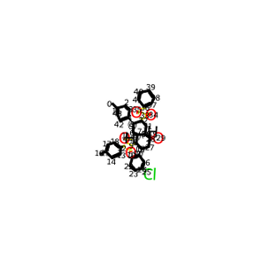 Cc1ccc([C@@H]2C[C@@H]3C(S(=O)(=O)c4ccc(C)cc4)[C@H](c4cccc(Cl)c4)CC(=O)[C@@H]3CC2S(=O)(=O)c2ccccc2)cc1